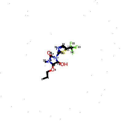 CCCOC1C(O)N(c2ncc(C(F)(F)F)s2)C(=O)N1C